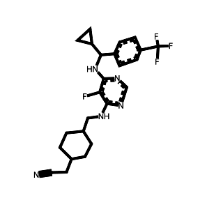 N#CCC1CCC(CNc2ncnc(NC(c3ccc(C(F)(F)F)cc3)C3CC3)c2F)CC1